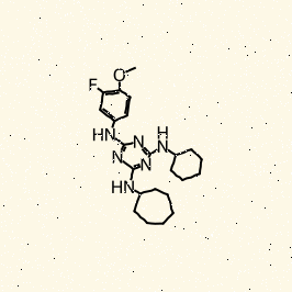 COc1ccc(Nc2nc(NC3CCCCCC3)nc(NC3CCCCC3)n2)cc1F